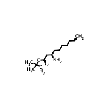 C=CCCCCCC(N)CC(=O)OC(C)(C)C